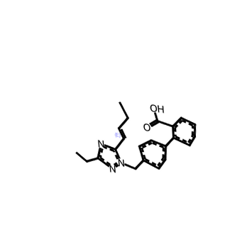 CC/C=C/c1nc(CC)nn1Cc1ccc(-c2ccccc2C(=O)O)cc1